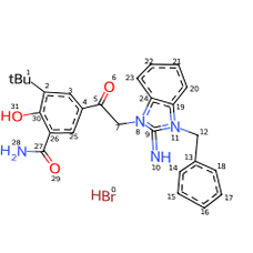 Br.CC(C)(C)c1cc(C(=O)Cn2c(=N)n(Cc3ccccc3)c3ccccc32)cc(C(N)=O)c1O